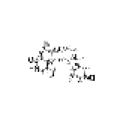 CCc1c[nH]c(=O)c2cc(F)c(OC3CCN(Cc4cc(C)cc(Cl)c4)CC3)cc12